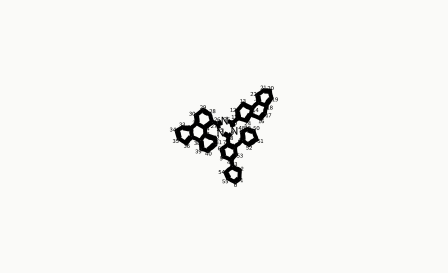 c1ccc(-c2ccc(-c3nc(-c4ccc5c(ccc6ccccc65)c4)nc(-c4cccc5c6ccccc6c6ccccc6c45)n3)c(-c3ccccc3)c2)cc1